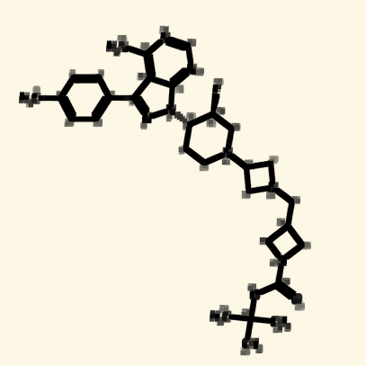 Cc1ccc(-c2nn([C@H]3CCN(C4CN(CC5CN(C(=O)OC(C)(C)C)C5)C4)C[C@@H]3F)c3ncnc(N)c23)cc1